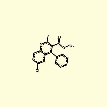 Cc1nc2ccc(Cl)cc2c(-c2ccccc2)c1C(=O)OC(C)(C)C